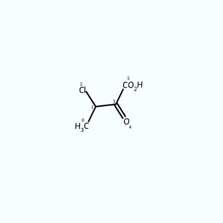 CC(Cl)C(=O)C(=O)O